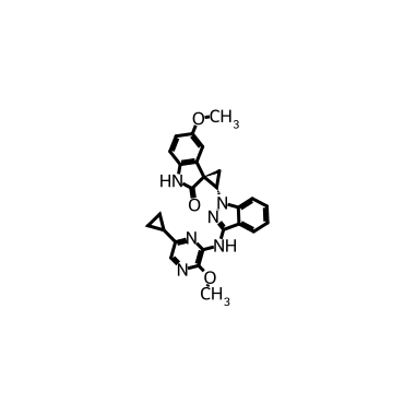 COc1ccc2c(c1)[C@@]1(C[C@@H]1n1nc(Nc3nc(C4CC4)cnc3OC)c3ccccc31)C(=O)N2